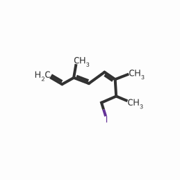 C=C/C(C)=C/C=C(/C)C(C)CI